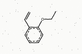 [CH2]COc1ccccc1C=C